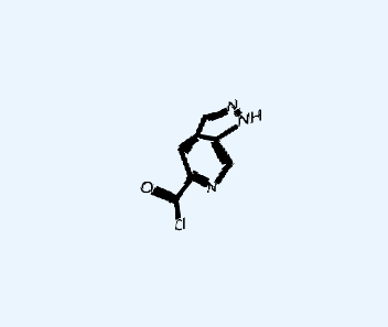 O=C(Cl)c1cc2cn[nH]c2cn1